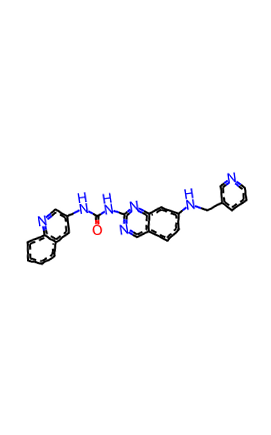 O=C(Nc1cnc2ccccc2c1)Nc1ncc2ccc(NCc3cccnc3)cc2n1